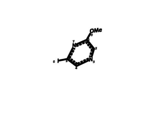 COc1cncc(I)n1